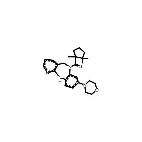 CC1(C)CCCC1(C)C(=O)N1Cc2cccnc2Nc2ccc(N3CCOCC3)cc21